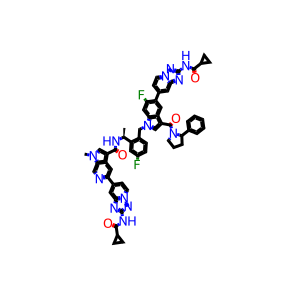 C[C@H](NC(=O)c1cn(C)c2cnc(-c3ccn4nc(NC(=O)C5CC5)nc4c3)cc12)c1cc(F)ccc1Cn1cc(C(=O)N2CCCC2c2ccccc2)c2cc(-c3ccn4nc(NC(=O)C5CC5)nc4c3)c(F)cc21